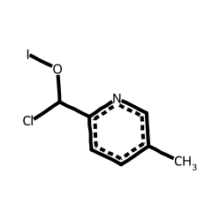 Cc1ccc(C(Cl)OI)nc1